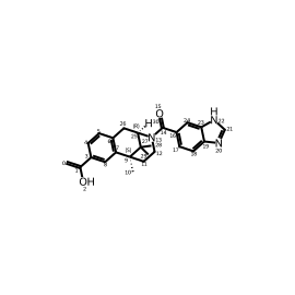 C=C(O)c1ccc2c(c1)[C@]1(C)CCN(C(=O)c3ccc4nc[nH]c4c3)[C@H](C2)C1(C)C